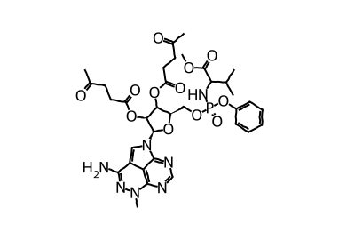 COC(=O)C(NP(=O)(OC[C@H]1O[C@@H](n2cc3c4c(ncnc42)N(C)N=C3N)[C@@H](OC(=O)CCC(C)=O)C1OC(=O)CCC(C)=O)Oc1ccccc1)C(C)C